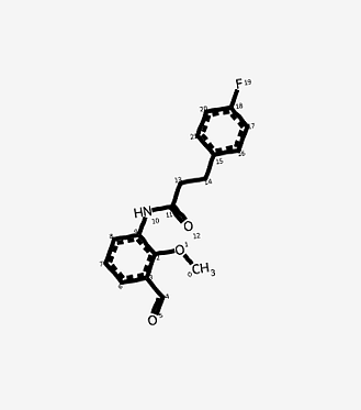 COc1c(C=O)cccc1NC(=O)CCc1ccc(F)cc1